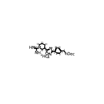 CCCCCCCCCCCc1ccc(-c2noc(C3CCCN(C(=N)N)C3)n2)cc1.Cl